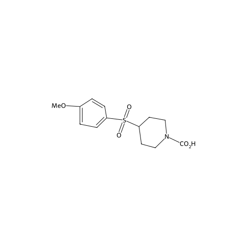 COc1ccc(S(=O)(=O)C2CCN(C(=O)O)CC2)cc1